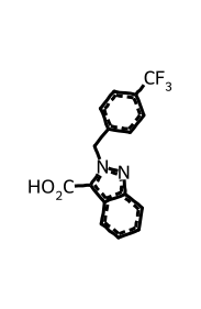 O=C(O)c1c2ccccc2nn1Cc1ccc(C(F)(F)F)cc1